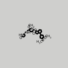 COc1ccc(-c2cccc3c2CC[C@@H]3Oc2nc(OC)c(CNC[C@@H]3CCC(=O)N3)cc2Cl)cc1OC